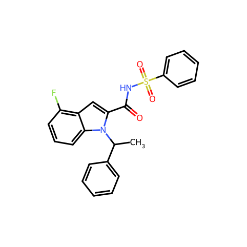 CC(c1ccccc1)n1c(C(=O)NS(=O)(=O)c2ccccc2)cc2c(F)cccc21